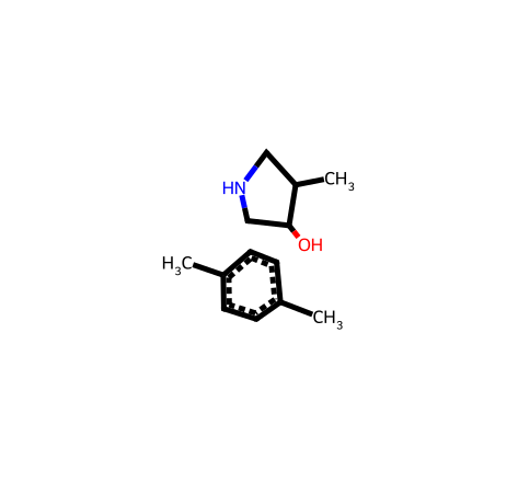 CC1CNCC1O.Cc1ccc(C)cc1